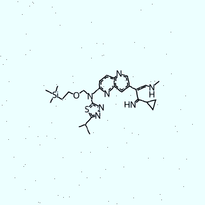 CN/C=C(\C(=N)C1CC1)c1cnc2ccc(N(COCC[Si](C)(C)C)c3nnc(C(C)C)s3)nc2c1